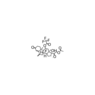 C=C1C[C@H]2[C@@H]3C[C@@H](C)[C@](O)(C(=O)COC(C)=O)[C@@]3(C)C[C@H](OC(=O)C(F)(F)F)[C@]2(F)[C@@]2(C)CCC(=O)C=C12